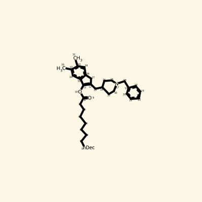 CCCCCCCCCCCCCCCCCC(=O)OC1=C(CC2CCN(Cc3ccccc3)CC2)Cc2cc(C)c(C)cc21